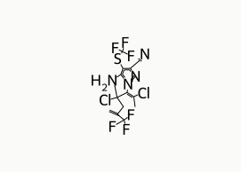 C=C(CC(C)(Cl)/C(=C(\C)Cl)n1nc(C#N)c(SC(F)(F)F)c1N)C(F)(F)F